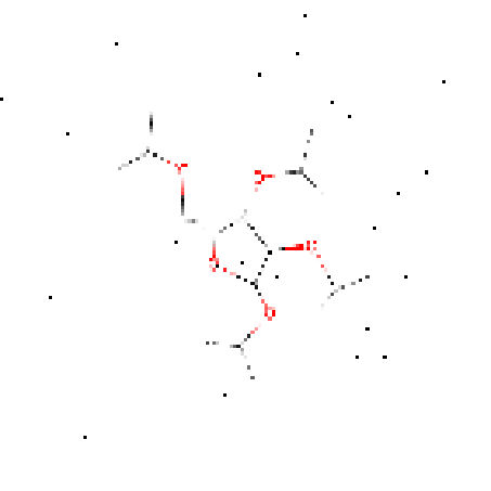 CC(C)OC[C@H]1OC(OC(C)C)[C@H](OC(C)C)[C@H]1OC(C)C